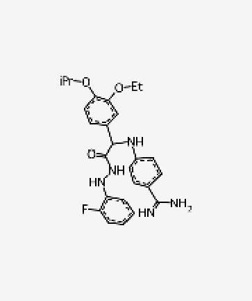 CCOc1cc(C(Nc2ccc(C(=N)N)cc2)C(=O)NNc2ccccc2F)ccc1OC(C)C